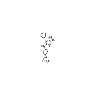 O=C(O)COc1ccc(Nc2ncc(Br)c(Nc3ccccc3)n2)cc1